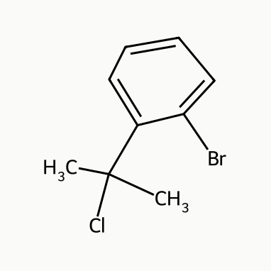 CC(C)(Cl)c1ccccc1Br